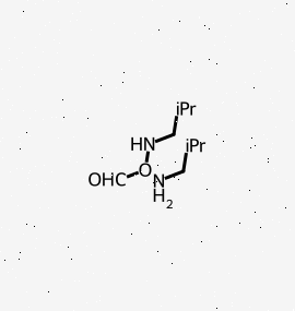 CC(C)CN.CC(C)CNOC=O